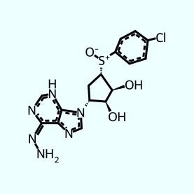 N/N=c1/nc[nH]c2c1ncn2[C@@H]1C[C@H]([S+]([O-])c2ccc(Cl)cc2)[C@@H](O)[C@H]1O